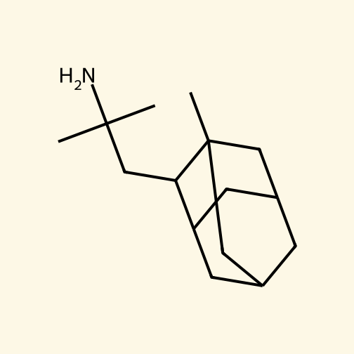 CC(C)(N)CC1C2CC3CC(C2)CC1(C)C3